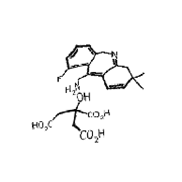 CC1(C)C=Cc2c(nc3cccc(F)c3c2N)C1.O=C(O)CC(O)(CC(=O)O)C(=O)O